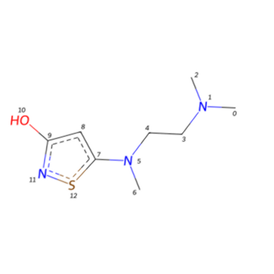 CN(C)CCN(C)c1cc(O)ns1